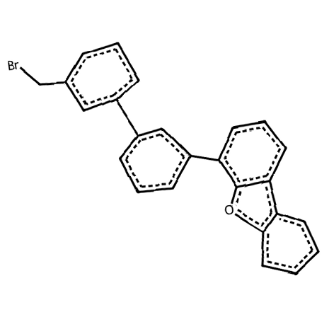 BrCc1cccc(-c2cccc(-c3cccc4c3oc3ccccc34)c2)c1